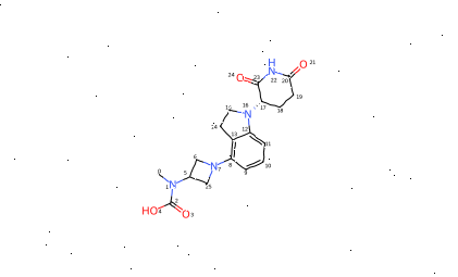 CN(C(=O)O)C1CN(c2cccc3c2CCN3[C@H]2CCC(=O)NC2=O)C1